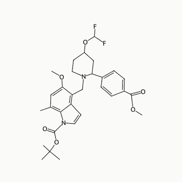 COC(=O)c1ccc(C2CC(OC(F)F)CCN2Cc2c(OC)cc(C)c3c2ccn3C(=O)OC(C)(C)C)cc1